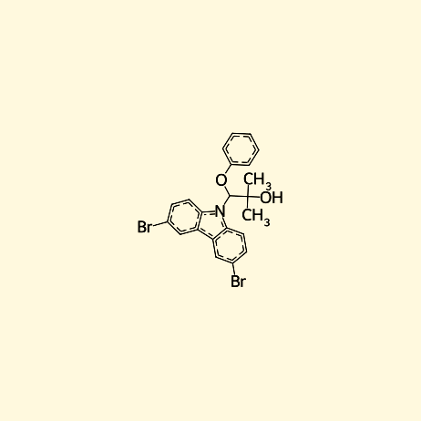 CC(C)(O)C(Oc1ccccc1)n1c2ccc(Br)cc2c2cc(Br)ccc21